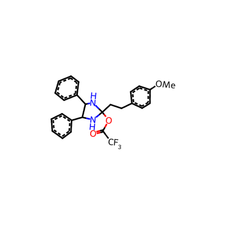 COc1ccc(CCC2(OC(=O)C(F)(F)F)NC(c3ccccc3)C(c3ccccc3)N2)cc1